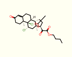 CCCCOC(=O)C(=O)[C@@]12CC[C@@]3(OC(C)O1)[C@@H]1CCC4=CC(=O)CC[C@]4(C)[C@@]1(Cl)[C@@H](Cl)C[C@]23C